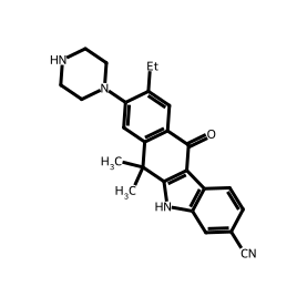 CCc1cc2c(cc1N1CCNCC1)C(C)(C)c1[nH]c3cc(C#N)ccc3c1C2=O